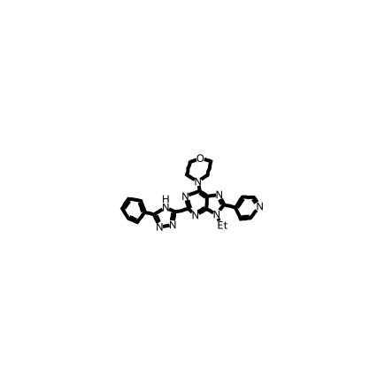 CCn1c(-c2ccncc2)nc2c(N3CCOCC3)nc(-c3nnc(-c4ccccc4)[nH]3)nc21